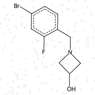 OC1CN(Cc2ccc(Br)cc2F)C1